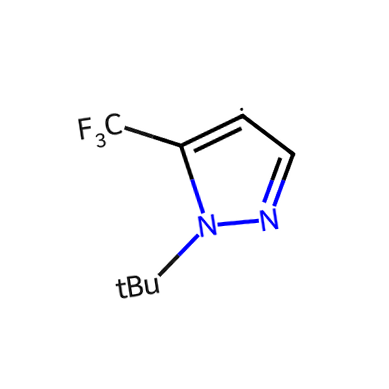 CC(C)(C)n1nc[c]c1C(F)(F)F